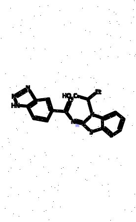 CCC(C(=O)O)n1/c(=N\C(=O)c2ccc3[nH]nnc3c2)sc2ccccc21